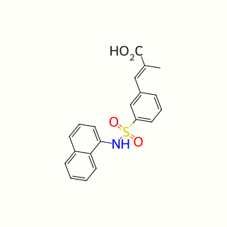 CC(=Cc1cccc(S(=O)(=O)Nc2cccc3ccccc23)c1)C(=O)O